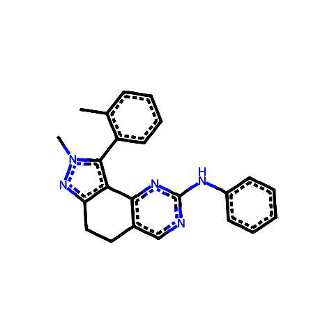 Cc1ccccc1-c1c2c(nn1C)CCc1cnc(Nc3ccccc3)nc1-2